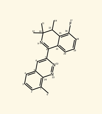 Cc1cccc2cc(C3=NC(C)(C)C(C)c4c(F)cccc43)nnc12